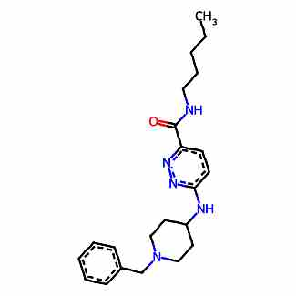 CCCCCNC(=O)c1ccc(NC2CCN(Cc3ccccc3)CC2)nn1